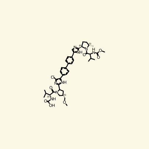 COC[C@H]1CC(c2nc(Cl)c(-c3ccc(-c4ccc(-c5cnc([C@H]6CC[C@H](C)N6C(=O)C(NC(=O)OC)C(C)C)[nH]5)cc4)cc3)[nH]2)N(C(=O)[C@@H](NC(=O)O)C(C)C)C1